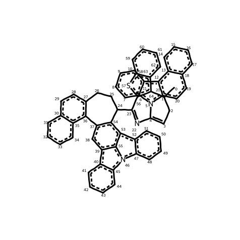 CC1C/C=C(n2c3ccccc3c3c4ccccc4ccc32)/N=C(/C2CCc3ccc4ccccc4c3-c3cc4c5ccccc5n5c6ccccc6c(c32)c45)c2sc3ccccc3c21